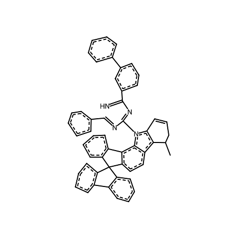 CC1CC=Cc2c1c1ccc3c(c1n2C(/N=C/c1ccccc1)=N/C(=N)c1cccc(-c2ccccc2)c1)-c1ccccc1C31c2ccccc2-c2ccccc21